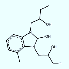 CCC(O)CN1c2cccc(C)c2N(CC(O)CC)C1O